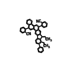 C=Cc1c(-c2ccccc2)ccc2c1/C(=C\C)c1cc3c(-c4ccccc4C#N)cc4c5ccccc5c(-c5ccccc5C#N)cc4c3cc1-2